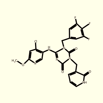 COc1cc(Cl)c(Nc2nc(=O)n(Cc3ccc[nH]c3=O)c(=O)n2Cc2cc(F)c(F)c(F)c2)cn1